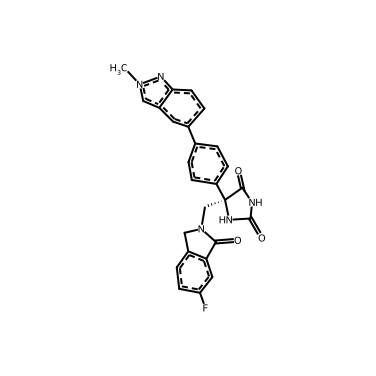 Cn1cc2cc(-c3ccc([C@]4(CN5Cc6ccc(F)cc6C5=O)NC(=O)NC4=O)cc3)ccc2n1